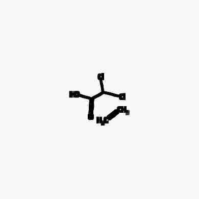 C=C.O=C(O)C(Cl)Cl